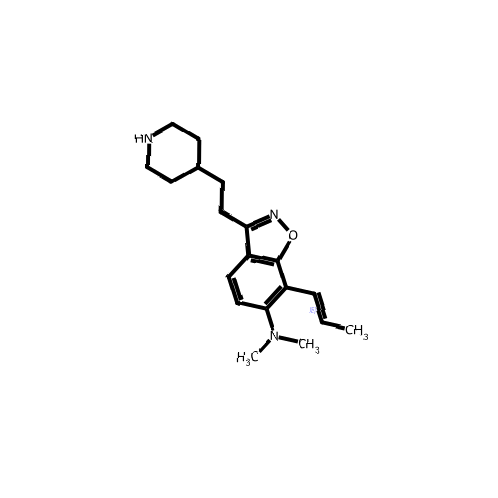 C/C=C/c1c(N(C)C)ccc2c(CCC3CCNCC3)noc12